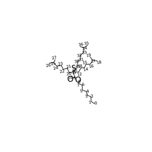 CCCCCCCCOC(=O)C(CCCCCC(C)C)(CCCCCC(C)C)SCCCCCC(C)C